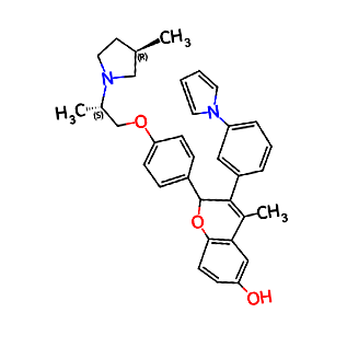 CC1=C(c2cccc(-n3cccc3)c2)C(c2ccc(OC[C@H](C)N3CC[C@@H](C)C3)cc2)Oc2ccc(O)cc21